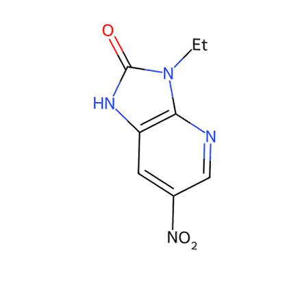 CCn1c(=O)[nH]c2cc([N+](=O)[O-])cnc21